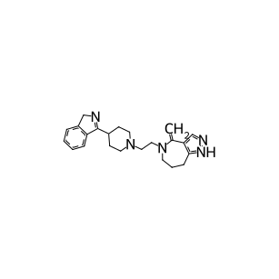 C=C1c2cn[nH]c2CCCN1CCN1CCC(C2=NCc3ccccc32)CC1